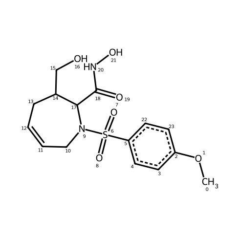 COc1ccc(S(=O)(=O)N2CC=CCC(CO)C2C(=O)NO)cc1